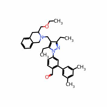 CCOCC1Cc2ccccc2CN1Cc1c(CC)nn(-c2ccc(C=O)c(-c3cc(C)cc(C)c3)c2)c1CC